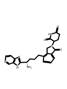 N[C@@H](CCCc1cccc2c1CN(C1CCC(=O)NC1=O)C2=O)c1nc2ccncc2[nH]1